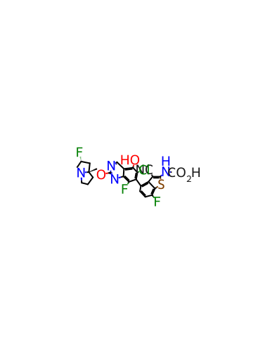 N#Cc1c(NC(=O)O)sc2c(F)ccc(-c3c(Cl)c(O)c4cnc(OC[C@@]56CCCN5C[C@H](F)C6)nc4c3F)c12